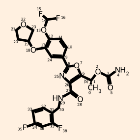 C[C@H](OC(N)=O)c1oc(-c2ccc(OC(F)F)c(OC3CCOC3)c2)nc1C(=O)NCc1ccc(F)cc1F